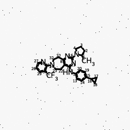 CC1CCCN1c1nc2c(c(Nc3ccc([C]4CC4)cc3)n1)CCN(c1ncccc1C(F)(F)F)CC2